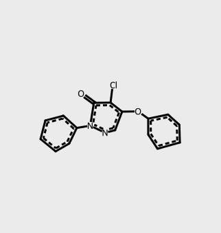 O=c1c(Cl)c(Oc2ccccc2)cnn1-c1ccccc1